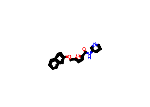 O=C(Nc1cccnc1)c1ccc(COc2ccc3ccccc3c2)o1